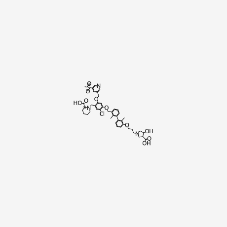 Cc1c(COc2cc(OCc3cncc(S(C)(=O)=O)c3)c(CN3CCCC[C@H]3C(=O)O)cc2Cl)cccc1-c1cccc(OCCCN2CC(O)C(C(=O)O)C2)c1C